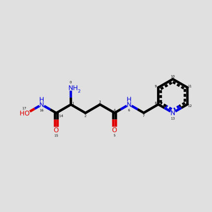 NC(CCC(=O)NCc1ccccn1)C(=O)NO